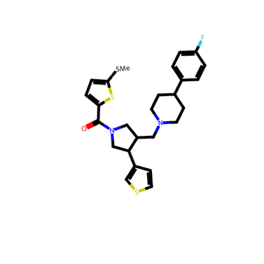 CSc1ccc(C(=O)N2CC(CN3CCC(c4ccc(F)cc4)CC3)C(c3ccsc3)C2)s1